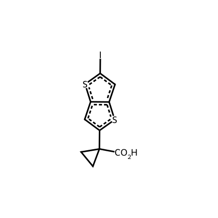 O=C(O)C1(c2cc3sc(I)cc3s2)CC1